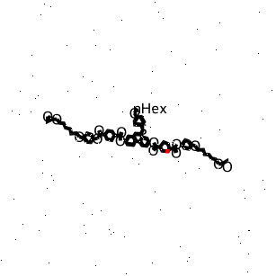 CCCCCCOc1ccc(Sc2cc3cc(OC(=O)C4CCC(C(=O)Oc5ccc(OCCCCCCOC6CO6)cc5)CC4)ccc3c3ccc(OC(=O)C4CCC(C(=O)Oc5ccc(OCCCCCCOC6CO6)cc5)CC4)cc23)cc1